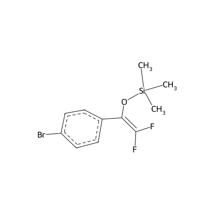 C[Si](C)(C)OC(=C(F)F)c1ccc(Br)cc1